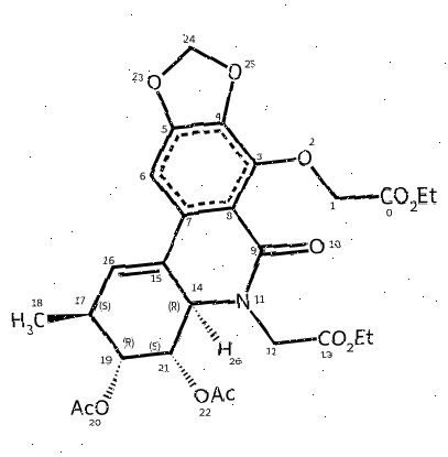 CCOC(=O)COc1c2c(cc3c1C(=O)N(CC(=O)OCC)[C@@H]1C3=C[C@H](C)[C@@H](OC(C)=O)[C@H]1OC(C)=O)OCO2